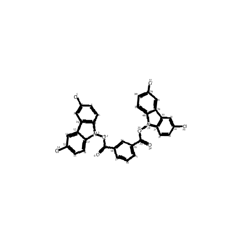 O=C(On1c2ccc(Cl)cc2c2cc(Cl)ccc21)c1cccc(C(=O)On2c3ccc(Cl)cc3c3cc(Cl)ccc32)c1